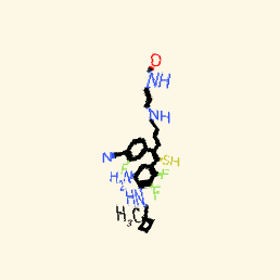 CC1(CNc2c(N)cc(/C(S)=C(/C=C/CCNCCCNC=O)c3ccc(C#N)c(F)c3)c(F)c2F)CCC1